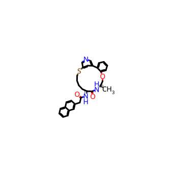 C[C@@H]1COc2ccccc2-c2cncc(c2)SCCCC[C@H](NC(=O)Cc2ccc3ccccc3c2)C(=O)N1